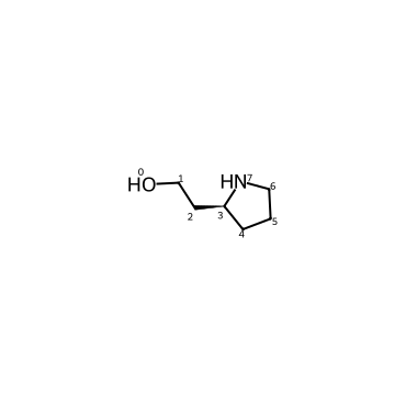 OCC[C@@H]1CCCN1